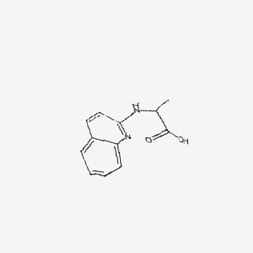 CC(Nc1ccc2ccccc2n1)C(=O)O